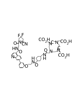 N#C[C@@H]1CC(F)(F)CN1C(=O)CNC(=O)c1ccnc2cc(-c3cccc(OCCNC(=O)C4CCC(CNC(=O)CN5CCN(CC(=O)O)CCN(CC(=O)O)CCN(CC(=O)O)CC5)CC4)c3)ccc12